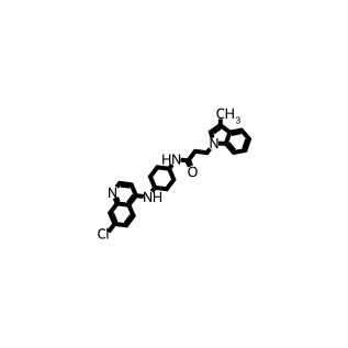 Cc1cn(CCC(=O)NC2CCC(Nc3ccnc4cc(Cl)ccc34)CC2)c2ccccc12